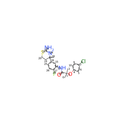 CC(C)(Oc1ccc(Cl)cc1)C(=O)Nc1cc(C2(C)CCSC(N)=N2)ccc1F